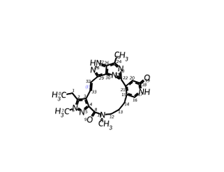 CCc1c2c(nn1C)C(=O)N(C)CCCc1c[nH]c(=O)cc1-c1nc(C)c3[nH]nc(c3n1)/C=C/2